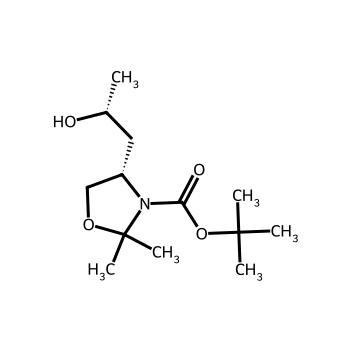 C[C@@H](O)C[C@H]1COC(C)(C)N1C(=O)OC(C)(C)C